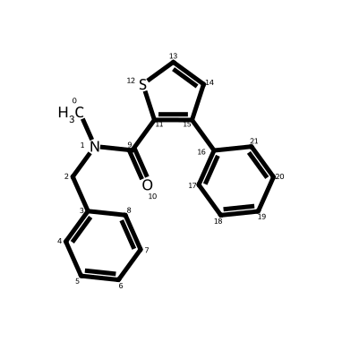 CN(Cc1ccccc1)C(=O)c1sccc1-c1ccccc1